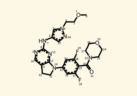 COCCn1cc(Nc2ncc3c(n2)N(c2cc(F)c(C(=O)N4CCOCC4)c(F)c2)CC3)cn1